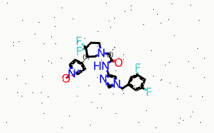 C[C@H](C(=O)Nc1cn(Cc2cc(F)cc(F)c2)cn1)N1CCC(F)(F)[C@@H](c2cc[n+]([O-])cc2)C1